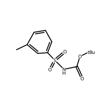 Cc1cccc(S(=O)(=O)NC(=O)OC(C)(C)C)c1